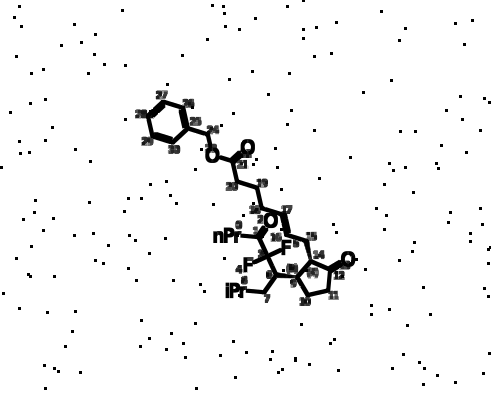 CCCC(=O)C(F)(F)C(CC(C)C)[C@@H]1CCC(=O)[C@@H]1CC=CCCCC(=O)OCc1ccccc1